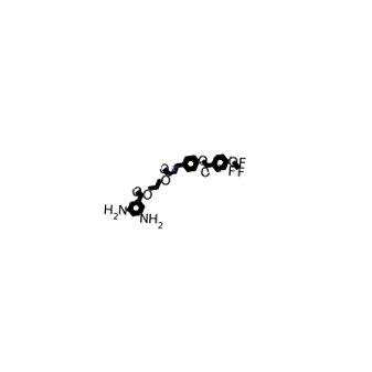 Nc1cc(N)cc(C(=O)OCCCOC(=O)/C=C/c2ccc(OC(=O)c3ccc(OC(F)(F)F)cc3)cc2)c1